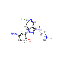 COc1ccc(N)cc1-n1nc(NCCN(C)C)c2cnc(Cl)cc21